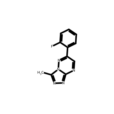 Cc1nnc2ncc(-c3ccccc3F)nn12